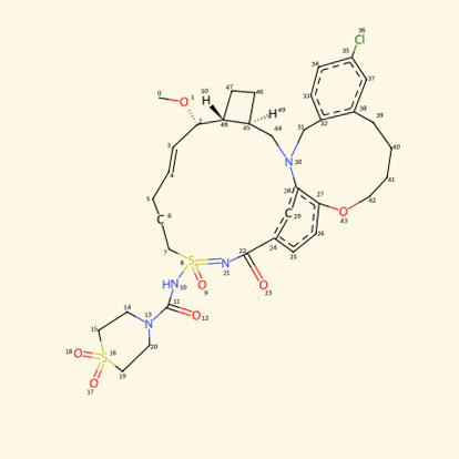 CO[C@H]1/C=C/CCCS(=O)(NC(=O)N2CCS(=O)(=O)CC2)=NC(=O)c2ccc3c(c2)N(Cc2ccc(Cl)cc2CCCCO3)C[C@@H]2CC[C@H]21